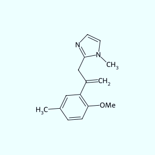 C=C(Cc1nccn1C)c1cc(C)ccc1OC